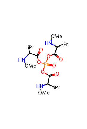 CONC(C(=O)OP(=O)(OC(=O)C(NOC)C(C)C)OC(=O)C(NOC)C(C)C)C(C)C